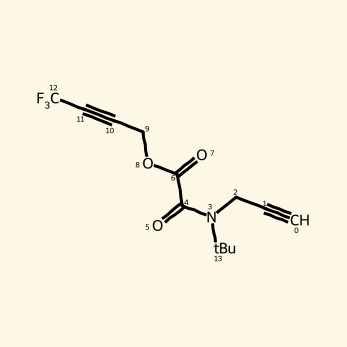 C#CCN(C(=O)C(=O)OCC#CC(F)(F)F)C(C)(C)C